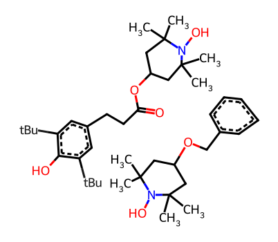 CC(C)(C)c1cc(CCC(=O)OC2CC(C)(C)N(O)C(C)(C)C2)cc(C(C)(C)C)c1O.CC1(C)CC(OCc2ccccc2)CC(C)(C)N1O